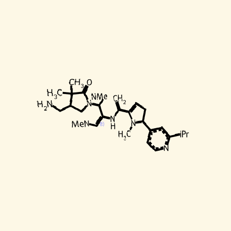 C=C(N/C(=C/NC)C(NC)N1CC(CN)C(C)(C)C1=O)C1=CCC(c2ccnc(C(C)C)c2)N1C